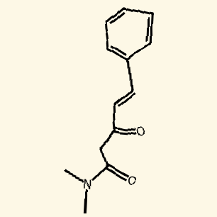 CN(C)C(=O)CC(=O)C=Cc1ccccc1